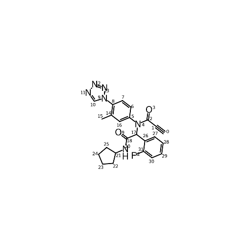 C#CC(=O)N(c1ccc(-n2cnnn2)c(C)c1)C(C(=O)NC1CCCC1)c1ccccc1F